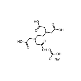 O=C(O)CN(CCN(CC(=O)O)CC(=O)O)CC(=O)O.O=C([O-])O.[Na+]